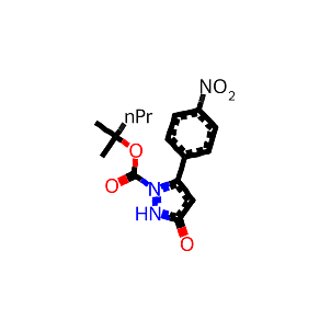 CCCC(C)(C)OC(=O)n1[nH]c(=O)cc1-c1ccc([N+](=O)[O-])cc1